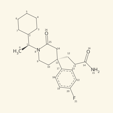 C[C@@H](C1CCCCC1)N1CC[C@](CCC(N)=O)(c2ccc(F)cc2)CC1=O